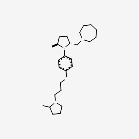 CC1CCCN1CCCOc1ccc(N2C(=S)CC[C@H]2CN2CCCCCC2)cc1